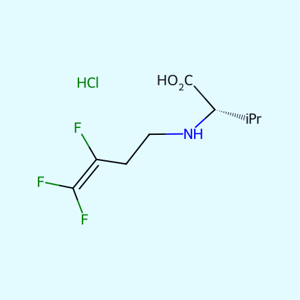 CC(C)[C@H](NCCC(F)=C(F)F)C(=O)O.Cl